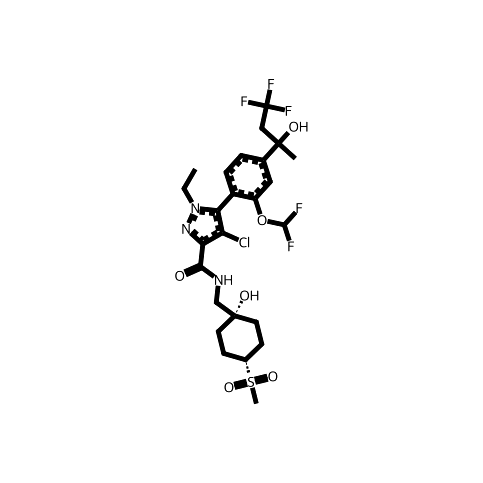 CCn1nc(C(=O)NC[C@]2(O)CC[C@@H](S(C)(=O)=O)CC2)c(Cl)c1-c1ccc(C(C)(O)CC(F)(F)F)cc1OC(F)F